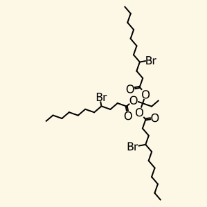 CCCCCCCC(Br)CCC(=O)OC(CC)(OC(=O)CCC(Br)CCCCCCC)OC(=O)CCC(Br)CCCCCCC